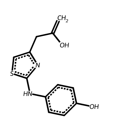 C=C(O)Cc1csc(Nc2ccc(O)cc2)n1